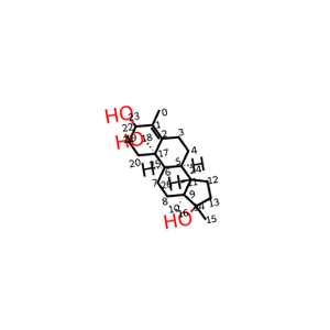 CC1=C2CC[C@@H]3[C@@H](CC[C@@]4(C)[C@H]3CCC4(C)O)[C@@]2(CO)CCC1O